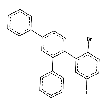 Brc1ccc(I)cc1-c1ccc(-c2ccccc2)cc1-c1ccccc1